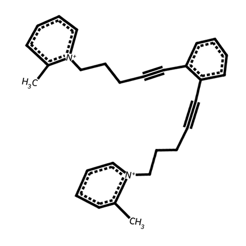 Cc1cccc[n+]1CCCC#Cc1ccccc1C#CCCC[n+]1ccccc1C